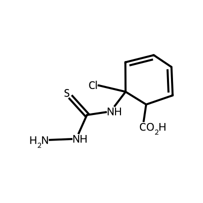 NNC(=S)NC1(Cl)C=CC=CC1C(=O)O